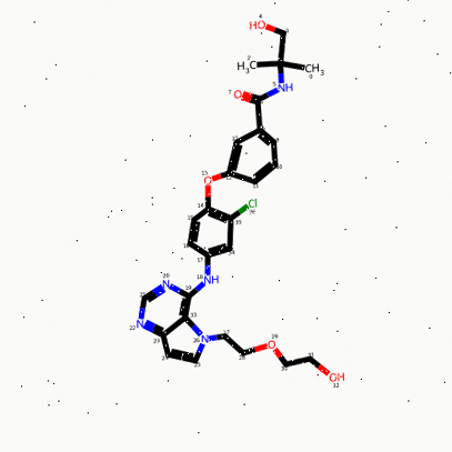 CC(C)(CO)NC(=O)c1cccc(Oc2ccc(Nc3ncnc4ccn(CCOCCO)c34)cc2Cl)c1